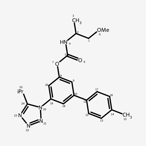 COCC(C)NC(=O)Oc1cc(-c2ccc(C)cc2)cc(-n2nnnc2C(C)C)c1